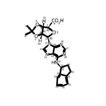 CC1(C)O[C@@H]2[C@H](O1)[C@@H](C(=O)O)O[C@H]2n1cnc2c(N[C@H]3CCc4ccccc43)ncnc21